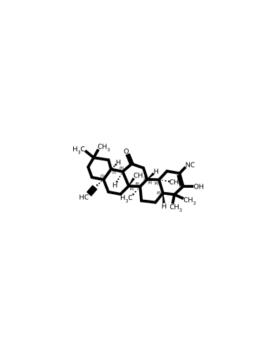 [C-]#[N+]C1=C(O)C(C)(C)[C@@H]2CC[C@]3(C)[C@H](CC(=O)[C@@H]4[C@@H]5CC(C)(C)CC[C@]5(C#C)CC[C@]43C)[C@@]2(C)C1